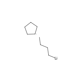 [CH]1CCCC1.[Li][CH2]CCC